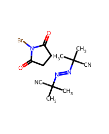 CC(C)(C#N)N=NC(C)(C)C#N.O=C1CCC(=O)N1Br